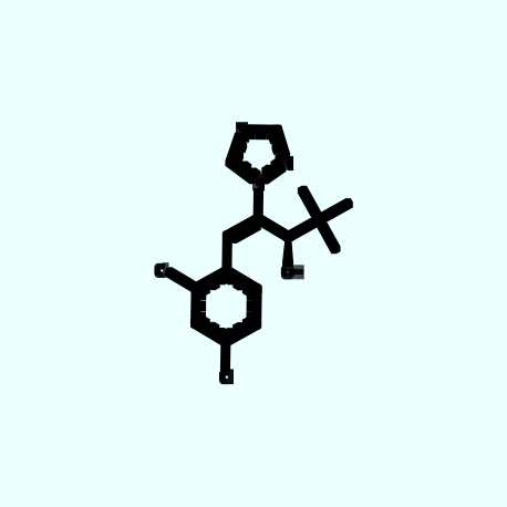 CC(C)(C)[C@@H](O)/C(=C\c1ccc(Cl)cc1Cl)n1cncn1